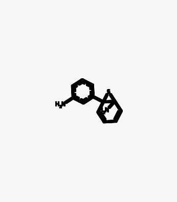 Nc1cccc(C23C=CC=CC2(N)S3)c1